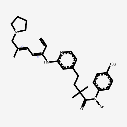 C=C/C(=C\C=C(/C)CN1CCCC1)Nc1cc(CCC(C)(C)C(=O)N(C(C)=O)c2ccc(C(C)(C)C)cc2)ccn1